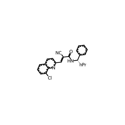 CCC[C@H](NC(=O)/C(C#N)=C/c1ccc2cccc(Cl)c2n1)c1ccccc1